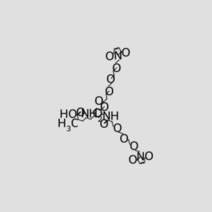 CC(C[C@@H](N)Cc1ccc(OC(=O)CCOCCOCCOCCN2C(=O)C=CC2=O)c(NC(=O)CCOCCOCCOCCN2C(=O)C=CC2=O)c1)C(=O)O